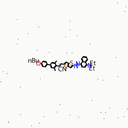 CCCCOc1ccc(-c2cc(C)c(/C(C#N)=C/c3cc4sc(/N=N/c5ccc(N(CC)CC)c6ccccc56)cc4s3)c(C)c2)cc1